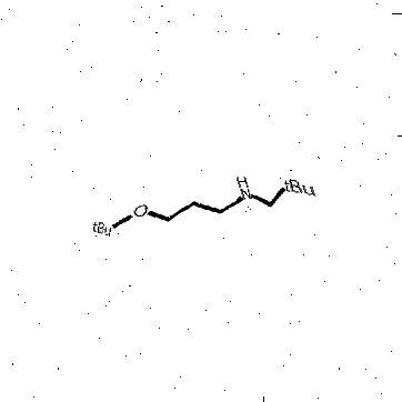 CC(C)(C)CNCCCOC(C)(C)C